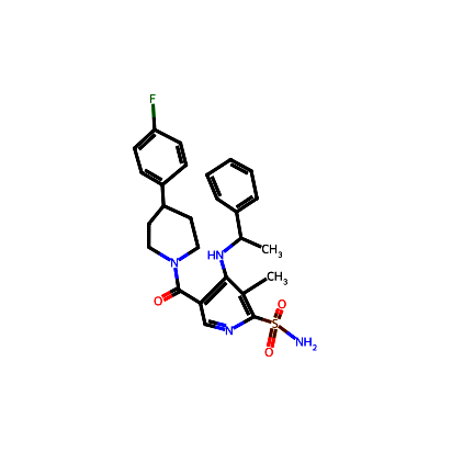 Cc1c(S(N)(=O)=O)ncc(C(=O)N2CCC(c3ccc(F)cc3)CC2)c1NC(C)c1ccccc1